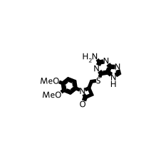 COc1ccc(N2C(=O)CC2CSc2nc(N)nc3nc[nH]c23)cc1OC